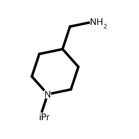 [CH2]C(C)N1CCC(CN)CC1